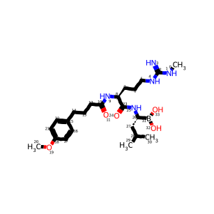 CNC(=N)NCCC[C@H](NC(=O)CCCc1ccc(OC)cc1)C(=O)N[C@@H](CC(C)C)B(O)O